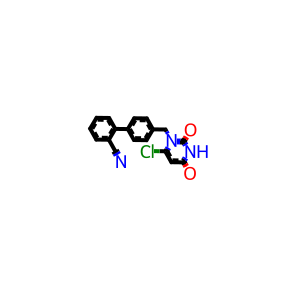 N#Cc1ccccc1-c1ccc(Cn2c(Cl)cc(=O)[nH]c2=O)cc1